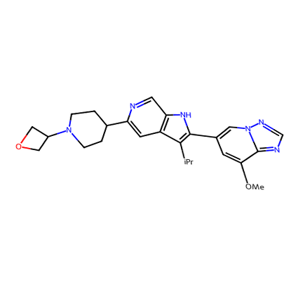 COc1cc(-c2[nH]c3cnc(C4CCN(C5COC5)CC4)cc3c2C(C)C)cn2ncnc12